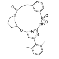 Cc1cccc(C)c1-c1cc2nc(n1)NS(=O)(=O)c1cccc(c1)CCC(=O)N1CCCC(C1)O2